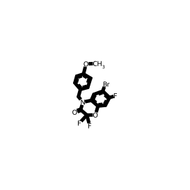 COc1ccc(CN2C(=O)C(F)(F)Oc3cc(F)c(Br)cc32)cc1